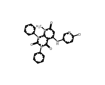 Cn1c(=O)cc(Nc2ccc(Cl)nc2)c2c(=O)n(-c3ccccc3)c(=O)n(-c3ccccc3)c21